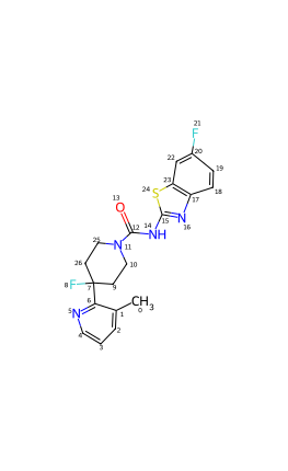 Cc1cccnc1C1(F)CCN(C(=O)Nc2nc3ccc(F)cc3s2)CC1